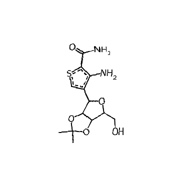 CC1(C)OC2C(CO)OC(c3csc(C(N)=O)c3N)C2O1